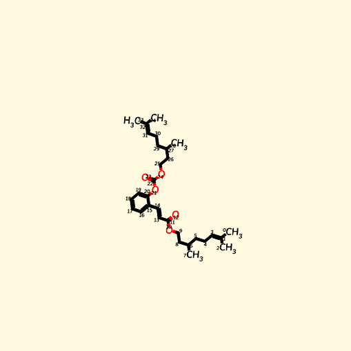 CC(C)=CCCC(C)CCOC(=O)C=Cc1ccccc1OC(=O)OCCC(C)CCC=C(C)C